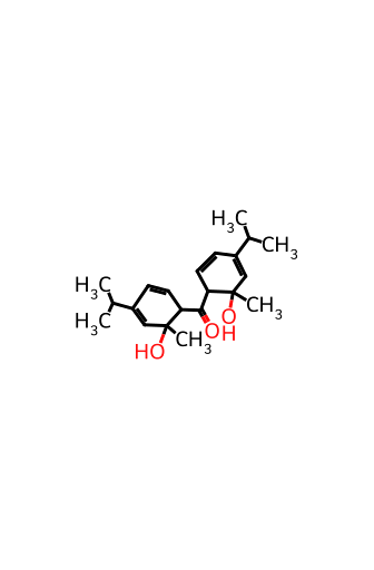 CC(C)C1=CC(C)(O)C(C(=O)C2C=CC(C(C)C)=CC2(C)O)C=C1